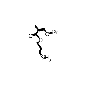 CC(=COC(C)C)C(=O)OCCC[SiH3]